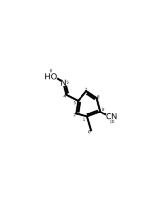 Cc1cc(C=NO)ccc1C#N